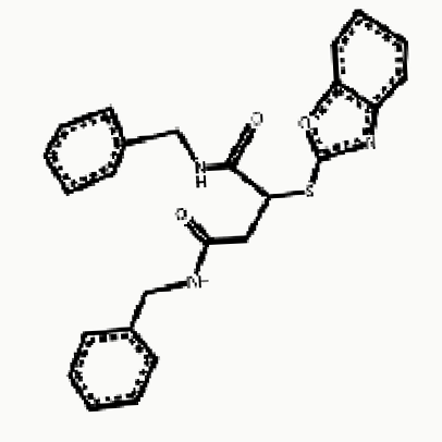 O=C(CC(Sc1nc2ccccc2o1)C(=O)NCc1ccccc1)NCc1ccccc1